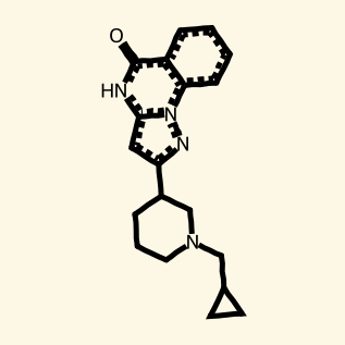 O=c1[nH]c2cc(C3CCCN(CC4CC4)C3)nn2c2ccccc12